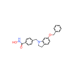 O=C(NO)c1ccc(CN2CCc3ccc(OCc4ccccc4)cc32)cc1